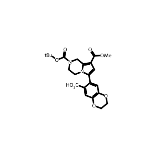 COC(=O)c1cc(-c2cc3c(cc2C(=O)O)OCCO3)n2c1CN(C(=O)OC(C)(C)C)CC2